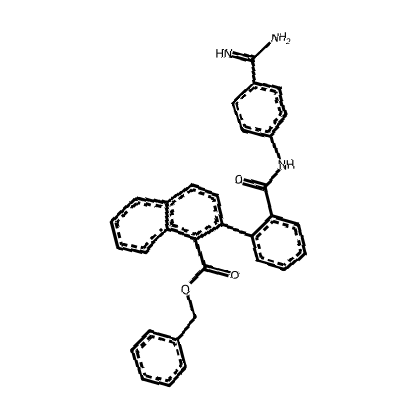 N=C(N)c1ccc(NC(=O)c2ccccc2-c2ccc3ccccc3c2C(=O)OCc2ccccc2)cc1